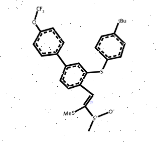 CS/C(=C\c1ccc(-c2ccc(OC(F)(F)F)cc2)cc1Sc1ccc(C(C)(C)C)cc1)[S+](C)[O-]